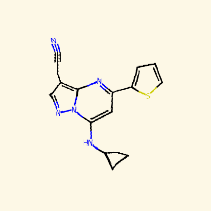 N#Cc1cnn2c(NC3CC3)cc(-c3cccs3)nc12